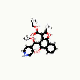 CCOC(=O)c1c(C)oc2c1c(C(OC)c1ccncc1)c(O)c1ccccc12